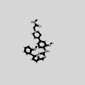 CNC(=O)CN1CCC(c2ccc(Nc3ncc4ccc(-c5ccccc5OC)n4n3)c(OC)c2)CC1